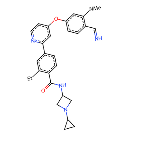 CCc1cc(-c2cc(Oc3ccc(C=N)c(NC)c3)ccn2)ccc1C(=O)NC1CN(C2CC2)C1